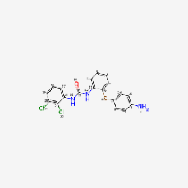 Nc1ccc(Sc2ccccc2NC(=O)Nc2cccc(Cl)c2Cl)cc1